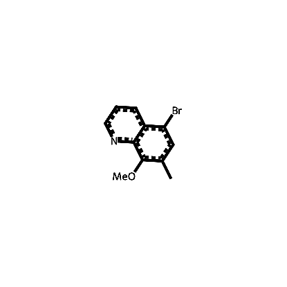 COc1c(C)cc(Br)c2cccnc12